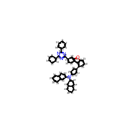 c1ccc(-c2nc(-c3ccccc3)nc(-c3ccc4c(c3)oc3cccc(-c5ccc(N(c6ccc7ccccc7c6)c6ccc7ccccc7c6)cc5)c34)n2)cc1